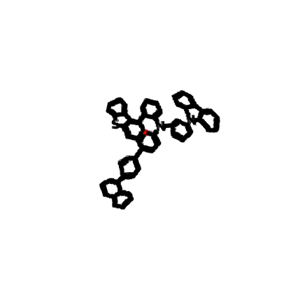 c1cc(N(c2ccc(-c3ccc(-c4cccc5ccccc45)cc3)cc2)c2ccccc2-c2cccc3sc4ccccc4c23)cc(-n2c3ccccc3c3ccccc32)c1